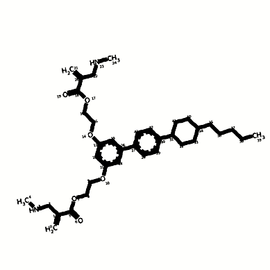 C=C(CNC)C(=O)OCCOc1cc(OCCOC(=O)C(=C)CNC)cc(-c2ccc(C3CCC(CCCCC)CC3)cc2)c1